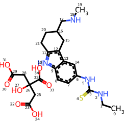 CCNC(=S)Nc1ccc2[nH]c3c(c2c1)CC(CNC)CC3.O=C(O)CC(O)(CC(=O)O)C(=O)O